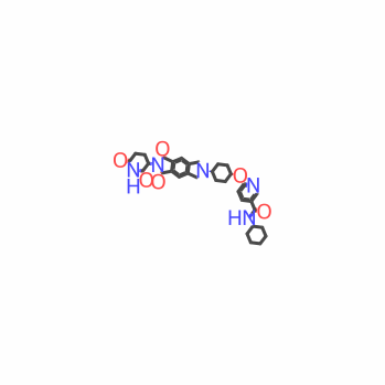 O=C1CCC(N2C(=O)c3cc4c(cc3C2=O)CN([C@H]2CC[C@H](Oc3ccc(C(=O)NC5CCCCC5)cn3)CC2)C4)C(=O)N1